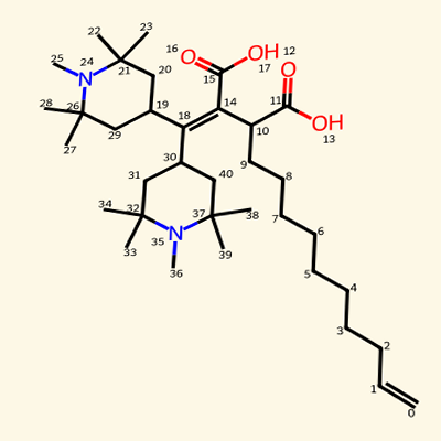 C=CCCCCCCCCC(C(=O)O)C(C(=O)O)=C(C1CC(C)(C)N(C)C(C)(C)C1)C1CC(C)(C)N(C)C(C)(C)C1